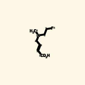 CN(CC=CC(=O)O)CCF